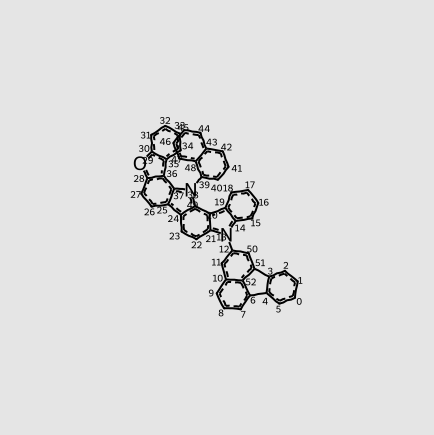 c1ccc2c(c1)-c1cccc3cc(-n4c5ccccc5c5c4ccc4c6ccc7oc8ccccc8c7c6n(-c6cccc7ccccc67)c45)cc-2c13